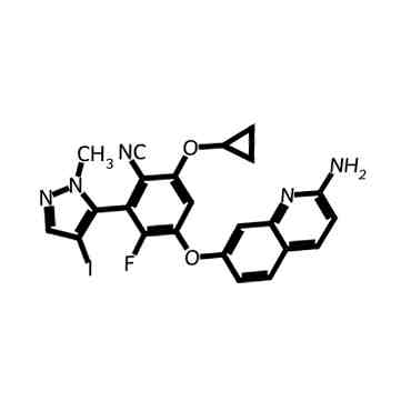 Cn1ncc(I)c1-c1c(F)c(Oc2ccc3ccc(N)nc3c2)cc(OC2CC2)c1C#N